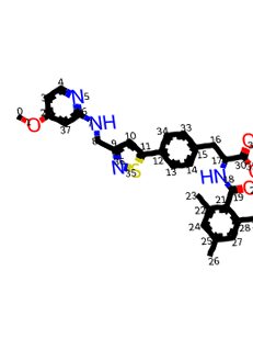 COc1ccnc(NCc2cc(-c3ccc(CC(NC(=O)c4c(C)cc(C)cc4C)C(=O)O)cc3)sn2)c1